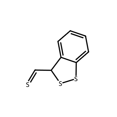 S=CC1SSc2ccccc21